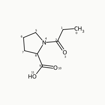 CCC(=O)N1CCCC1C(=O)O